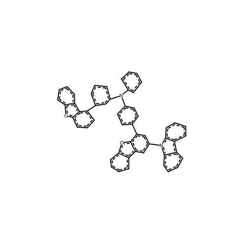 c1ccc(N(c2ccc(-c3cc(-n4c5ccccc5c5ccccc54)cc4c3oc3ccccc34)cc2)c2cccc(-c3cccc4oc5ccccc5c34)c2)cc1